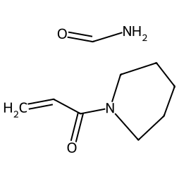 C=CC(=O)N1CCCCC1.NC=O